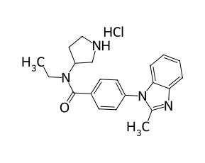 CCN(C(=O)c1ccc(-n2c(C)nc3ccccc32)cc1)C1CCNC1.Cl